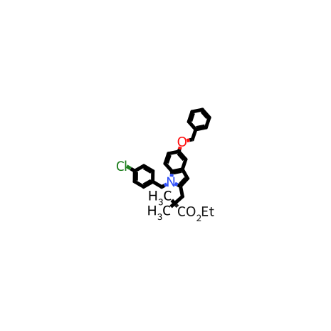 CCOC(=O)C(C)(C)Cc1cc2cc(OCc3ccccc3)ccc2n1Cc1ccc(Cl)cc1